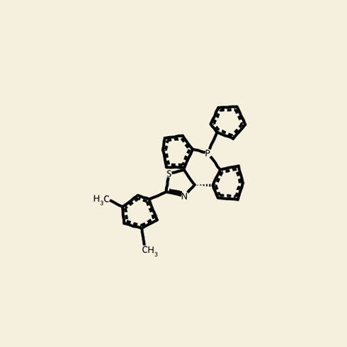 Cc1cc(C)cc(C2=N[C@@H](c3ccccc3P(c3ccccc3)c3ccccc3)CS2)c1